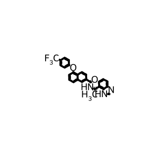 C[C@H](NC(=O)c1ccc2c(Oc3ccc(C(F)(F)F)cc3)cccc2c1)c1cccc2nc[nH]c12